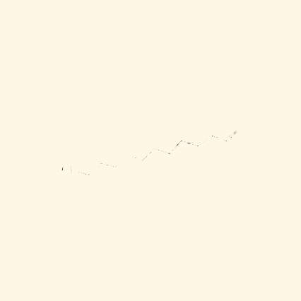 C=CCCCCCCCCCCCl